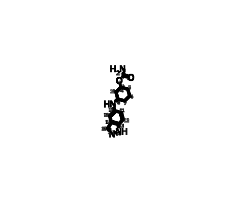 NC(=O)O[C@H]1CCCC(Nc2ccc3[nH]ncc3c2)C1